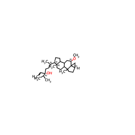 C=C[C@@](O)(CC[C@@H](C)[C@H]1CCC2C3C[C@@H](OC)C45C[C@H]4CC[C@]5(C)C3CC[C@@]21C)C(C)C